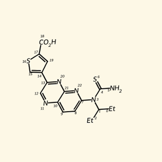 CCC(CC)N(C(N)=S)c1ccc2ncc(-c3csc(C(=O)O)c3)nc2n1